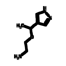 CC(OCCN)c1cn[nH]c1